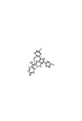 Cc1cc(-c2nc(-c3nc(C)ns3)n3c2[C@@H](C)N(C(=O)c2ccc(F)cc2)CC3)c(F)cn1